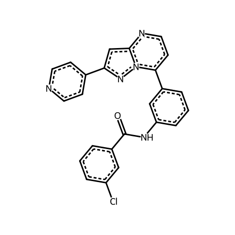 O=C(Nc1cccc(-c2ccnc3cc(-c4ccncc4)nn23)c1)c1cccc(Cl)c1